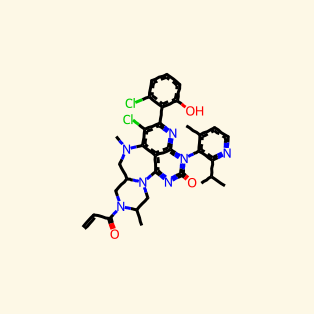 C=CC(=O)N1CC2CN(C)c3c(Cl)c(-c4c(O)cccc4Cl)nc4c3c(nc(=O)n4-c3c(C)ccnc3C(C)C)N2CC1C